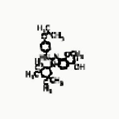 COc1c(C(=O)O)ccc2c1nc(Nc1ccc(OC(C)C)cc1)n2C1CC(C)(C)CC(C)(C)C1